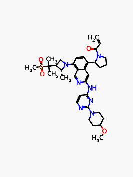 C=CC(=O)N1CCC[C@H]1c1ccc(N2C[C@H](C(C)(C)S(C)(=O)=O)[C@H]2C)c2cnc(Nc3ccnc(N4CCC(OC)CC4)n3)cc12